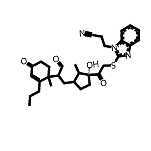 CCCC1=CC(=O)CCC1(C)C(C=O)CC1CC[C@](O)(C(=O)CSc2nc3ccccc3n2CCC#N)C1C